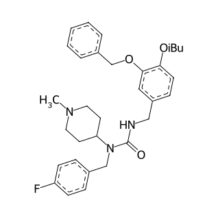 CC(C)COc1ccc(CNC(=O)N(Cc2ccc(F)cc2)C2CCN(C)CC2)cc1OCc1ccccc1